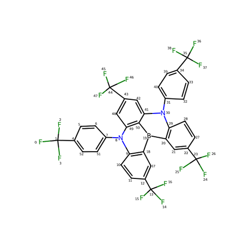 FC(F)(F)c1ccc(N2c3ccc(C(F)(F)F)cc3B3c4cc(C(F)(F)F)ccc4N(c4ccc(C(F)(F)F)cc4)c4cc(C(F)(F)F)cc2c43)cc1